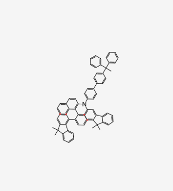 CC1(C)c2ccccc2-c2cc(N(c3ccc(-c4ccc(C(C)(c5ccccc5)c5ccccc5)cc4)cc3)c3ccc4ccccc4c3-c3ccccc3-c3cccc4c3-c3ccccc3C4(C)C)ccc21